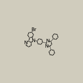 Brc1ccc2c3ncccc3n(-c3ccc(-c4nc(-c5ccccc5)cc(-c5ccccc5)n4)cc3)c2c1